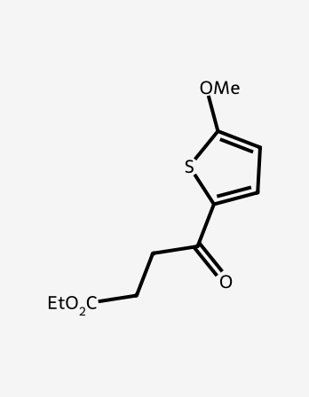 CCOC(=O)CCC(=O)c1ccc(OC)s1